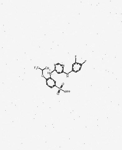 CNS(=O)(=O)c1ccc(OC(C)C(F)(F)F)c(Nc2cc(Nc3ccc(F)c(F)c3)ncn2)c1